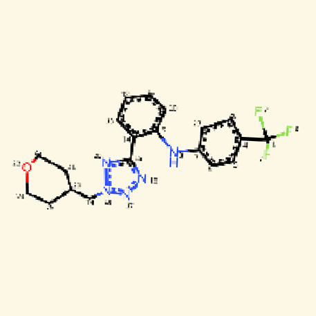 FC(F)(F)c1ccc(Nc2ccccc2-c2nnn(CC3CCOCC3)n2)cc1